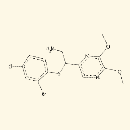 COc1ncc(C(CN)Sc2ccc(Cl)cc2Br)nc1OC